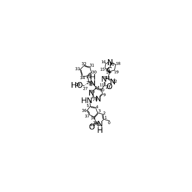 Cc1cc2cc(Nc3ncc(-c4nc(C56CCN(CC5)CC6)no4)c(N[C@H](CO)c4ccccc4)n3)ccc2c(=O)[nH]1